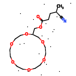 CC(C#N)CCC(=O)OCC1COCCOCCOCCOCCOCCO1